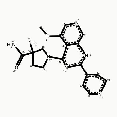 COc1cncc2nc(-c3ccncc3)nc(N3CCC(N)(C(N)=O)C3)c12